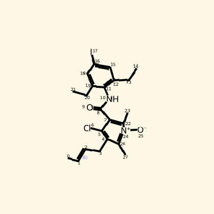 C/C=C/Cc1c(Cl)c(C(=O)Nc2c(CC)cc(I)cc2CC)c(C)[n+]([O-])c1C